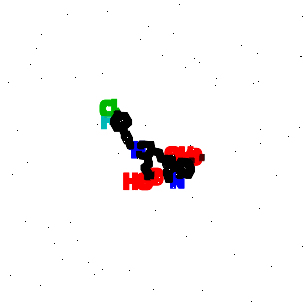 COc1ccc2nccc([C@@H](O)CCC3CCN(CC#Cc4ccc(Cl)c(F)c4)CC3CCC(=O)O)c2c1